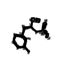 Cc1cccc(CC(C=O)C[SH](=O)=O)c1